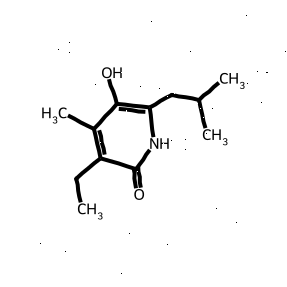 CCc1c(C)c(O)c(CC(C)C)[nH]c1=O